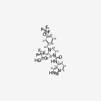 O=C(NC1=CC=CN2SNC=C12)N1CCN(Cc2cccc(OC(F)(F)F)c2)CC1.O=C(O)C(F)(F)F